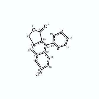 O=C1OCc2nc3cc(Cl)ccc3c(-c3ccccc3)c21